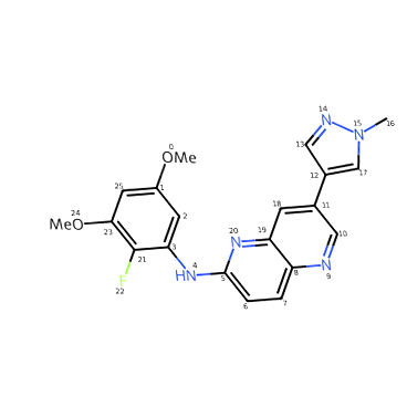 COc1cc(Nc2ccc3ncc(-c4cnn(C)c4)cc3n2)c(F)c(OC)c1